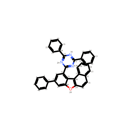 c1ccc(-c2cc(-c3nc(-c4ccccc4)nc(-c4ccccc4)n3)c3c(c2)oc2ccc4ccccc4c23)cc1